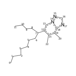 CCCCCCCC(CCCC)c1cn2ncnc2c(C)c1C